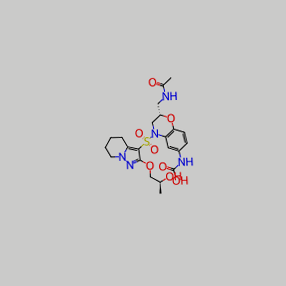 CC(=O)NC[C@H]1CN(S(=O)(=O)c2c(OC[C@H](C)O)nn3c2CCCC3)c2cc(NC(=O)O)ccc2O1